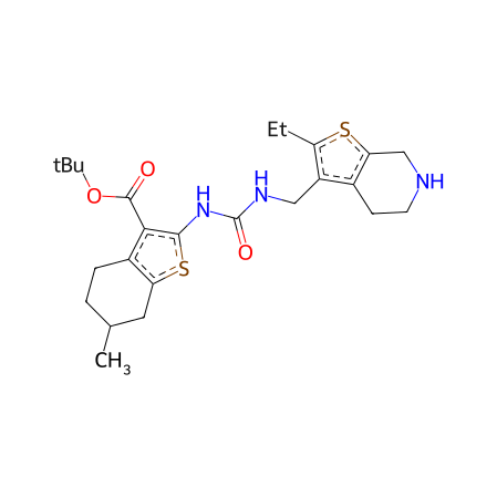 CCc1sc2c(c1CNC(=O)Nc1sc3c(c1C(=O)OC(C)(C)C)CCC(C)C3)CCNC2